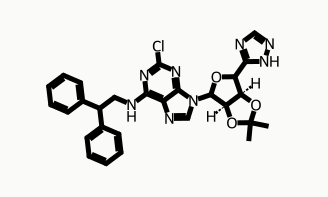 CC1(C)O[C@@H]2C(c3ncn[nH]3)OC(n3cnc4c(NCC(c5ccccc5)c5ccccc5)nc(Cl)nc43)[C@@H]2O1